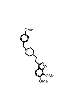 COc1ccc(CN2CCC(CCc3noc4c(OC)c(OC)ccc34)CC2)cc1